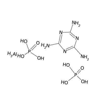 Nc1nc(N)nc(N)n1.O=P(O)(O)O.O=P(O)(O)O.[AlH3]